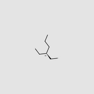 [CH2]C[C@@H](CC)CCC